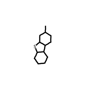 CC1CCC2C(C1)SC1CCCCC12